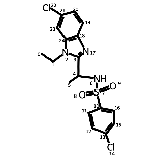 CCn1c(C(C)NS(=O)(=O)c2ccc(Cl)cc2)nc2ccc(Cl)cc21